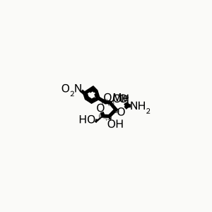 CO[C@]1(c2ccc([N+](=O)[O-])cc2)O[C@H](CO)[C@H](O)[C@H](OC(N)=O)[C@H]1O